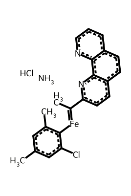 C/[C](=[Fe]\[c]1c(C)cc(C)cc1Cl)c1ccc2ccc3cccnc3c2n1.Cl.N